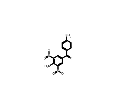 Nc1ccc(C(=O)c2cc([N+](=O)[O-])c(N)c([N+](=O)[O-])c2)cc1